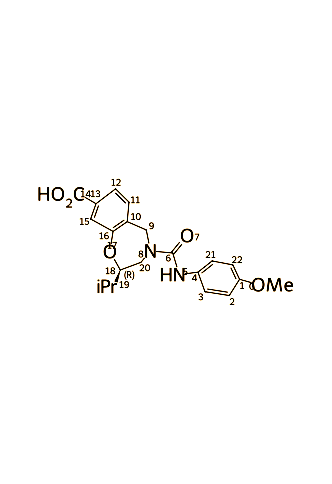 COc1ccc(NC(=O)N2Cc3ccc(C(=O)O)cc3O[C@H](C(C)C)C2)cc1